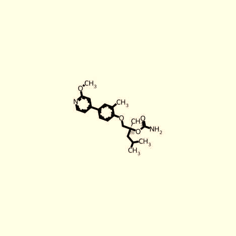 COc1cc(-c2ccc(OC[C@](C)(CC(C)C)OC(N)=O)c(C)c2)ccn1